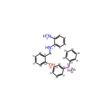 Nc1ccccc1NCc1ccccc1O.[Zn].c1ccc(Pc2ccccc2)cc1